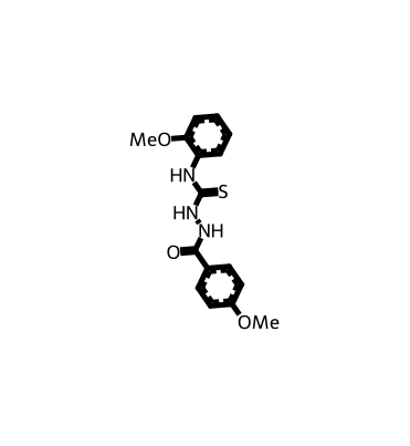 COc1ccc(C(=O)NNC(=S)Nc2ccccc2OC)cc1